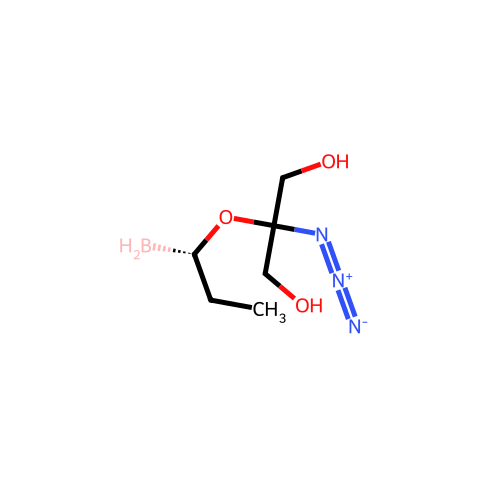 B[C@@H](CC)OC(CO)(CO)N=[N+]=[N-]